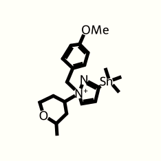 COc1ccc(C[N+]2(C3CCOC(C)C3)C=C[C]([Sn]([CH3])([CH3])[CH3])=N2)cc1